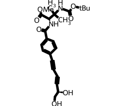 COC(=O)[C@@H](NC(=O)c1ccc(C#CC#C[C@@H](O)CO)cc1)C(C)(C)NC(=O)OC(C)(C)C